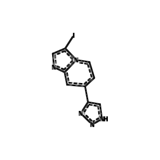 Ic1cnc2cc(-c3c[nH]nn3)ccn12